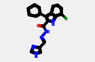 O=C(NN=Cc1c[nH]cn1)c1[nH]c2c(F)cccc2c1-c1ccccc1